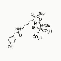 CC(C)(C)OC(=O)C(CCCCNC(=O)Cc1ccc(O)cc1)=NC(=O)N(C(C)(C)C)[C@@](CCC(=O)O)(C(=O)O)C(C)(C)C